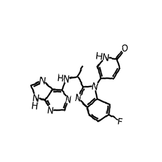 CC(Nc1ncnc2[nH]cnc12)c1nc2ccc(F)cc2n1-c1ccc(=O)[nH]c1